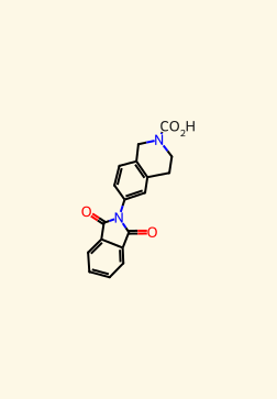 O=C(O)N1CCc2cc(N3C(=O)c4ccccc4C3=O)ccc2C1